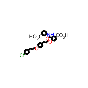 O=C(O)c1ccc(OCCCc2ccc(OCCCc3ccc(Cl)cc3)cc2)c(C(=O)NC2CCCC(C(=O)O)C2)c1